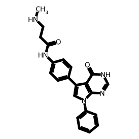 CNCCC(=O)Nc1ccc(-c2cn(-c3ccccc3)c3nc[nH]c(=O)c23)cc1